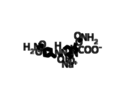 NC(=O)OCC1=C(C(=O)[O-])N2C(=O)[C@@H]3[C@H]2C1CCN3C(=O)NCc1ccc(S(N)(=O)=O)cc1.[Na+]